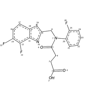 O=C(O)CCC(=O)N(Cc1nc2c(F)c(F)ccc2s1)c1ccccc1F